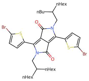 CCCCCCC(CCCC)CN1C(=O)C2=C(c3ccc(Br)s3)N(CC(CCCCCC)CCCCCC)C(=O)C2=C1c1ccc(Br)s1